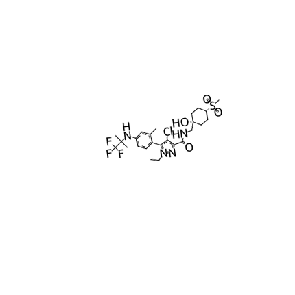 CCn1nc(C(=O)NC[C@]2(O)CC[C@@H](S(C)(=O)=O)CC2)c(Cl)c1-c1ccc(NC(C)(C)C(F)(F)F)cc1C